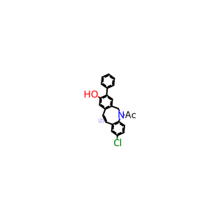 CC(=O)N1Cc2cc(-c3ccccc3)c(O)cc2/C=C\c2cc(Cl)ccc21